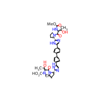 COC(=O)N[C@H](C(=O)N1CCC[C@H]1c1ncc(-c2ccc(-c3ccc(-c4cnc([C@@H]5CCCN5C(=O)[C@H]([C@H](C)O)N(C)C(=O)O)[nH]4)cc3)cc2)[nH]1)[C@H](C)O